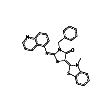 CN1C(=C2SC(=Nc3cccc4ncccc34)N(Cc3ccccc3)C2=O)Sc2ccccc21